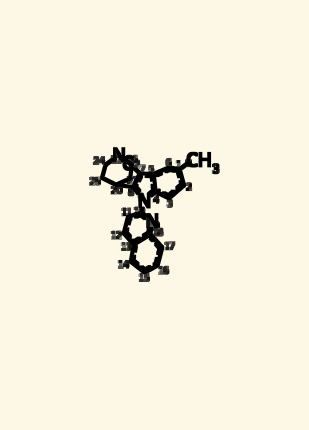 Cc1ccc2c(c1)c1c(n2-c2ccc3ccccc3n2)C2CCN(CC2)C1